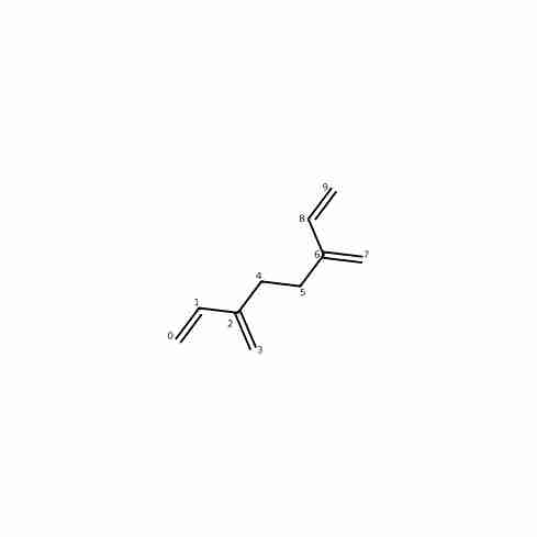 C=CC(=C)CCC(=C)C=C